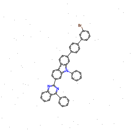 Brc1cccc(-c2ccc(-c3ccc4c5ccc(-c6nc(-c7ccccc7)c7ccccc7n6)cc5n(-c5ccccc5)c4c3)cc2)c1